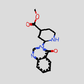 COC(=O)C1CCNC(n2cnc3ccccc3c2=O)C1